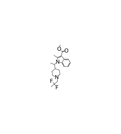 COC(=O)c1c(C)n(C(C)C2CCN(CC(C)(F)F)CC2)c2ccccc12